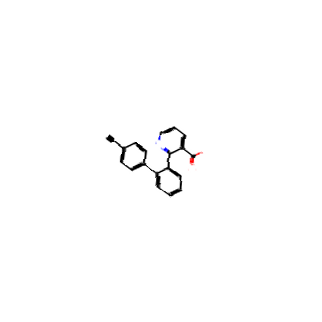 C#Cc1ccc(-c2ccccc2-c2ncccc2C(=O)O)cc1